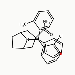 Cc1ccccc1C(c1ccccc1Cl)N1C2CCC1CC(C(N)=O)(c1ccccc1)C2